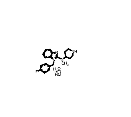 CN(c1nc2ccccc2n1Cc1ccc(F)cc1)C1CCNCC1.Cl.Cl.O